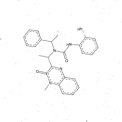 CCCc1ccccc1NC(=O)N(C(C)c1ccccc1)C(C)c1nc2ccccc2n(C)c1=O